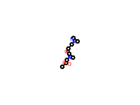 O=c1cc(-c2ccccc2)oc2ccc(-n3c4ccccc4c4cc5c(cc43)oc3ccc(-c4ccc(-n6c7ccccc7c7cccnc76)cc4)cc35)cc12